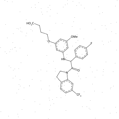 COc1cc(NC(C(=O)N2CCc3ccc(C(F)(F)F)cc32)c2ccc(F)cc2)cc(OCCCC(=O)O)c1